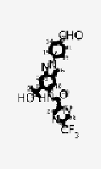 CC(C)(O)c1cc2nn([C@H]3CC[C@H](C=O)CC3)cc2cc1NC(=O)c1cnc(C(F)(F)F)cn1